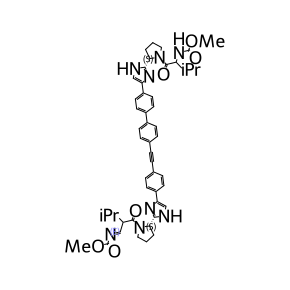 COC(=O)/N=C/C(C(=O)N1CCC[C@H]1c1nc(-c2ccc(C#Cc3ccc(-c4ccc(-c5c[nH]c([C@@H]6CCCN6C(=O)C(NC(=O)OC)C(C)C)n5)cc4)cc3)cc2)c[nH]1)C(C)C